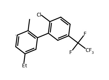 CCc1c[c]c(C)c(-c2cc(C(F)(F)C(F)(F)F)ccc2Cl)c1